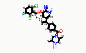 CC1CN(C(=O)c2ccc(-c3coc4c(O[C@H](C)c5c(Cl)ccc(F)c5Cl)c(N)ncc34)cc2)C(C)CN1